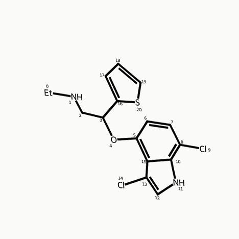 CCNCC(Oc1ccc(Cl)c2[nH]cc(Cl)c12)c1cccs1